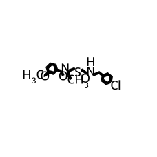 COc1cccc(-c2nc(CSCC(=O)NCCc3ccc(Cl)cc3)c(C)o2)c1